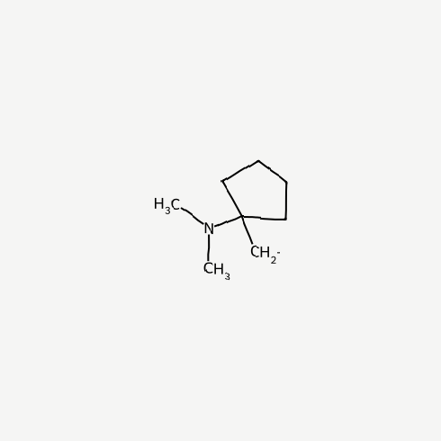 [CH2]C1(N(C)C)CCCC1